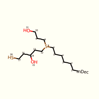 CCCCCCCCCCCCCCCC[S+](CCCO)CCC(O)CCS